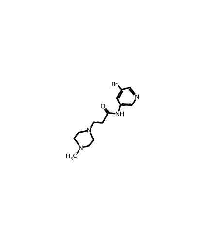 CN1CCN(CCC(=O)Nc2cncc(Br)c2)CC1